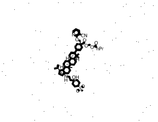 C=C(C)[C@@H]1CC[C@]2(NCC[C@]3(O)CC[C@@H](S(C)(=O)=O)CC3)CC[C@]3(C)[C@H](CC[C@@H]4[C@@]5(C)CC=C(C6=CC[C@@](COc7ncccc7C#N)(C(=O)OCOC(=O)CCC)CC6)C(C)(C)[C@@H]5CC[C@]43C)[C@@H]12